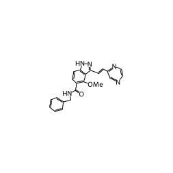 COc1c(C(=O)NCc2ccccc2)ccc2[nH]nc(C=Cc3cnccn3)c12